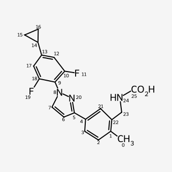 Cc1ccc(-c2ccn(-c3c(F)cc(C4CC4)cc3F)n2)cc1CNC(=O)O